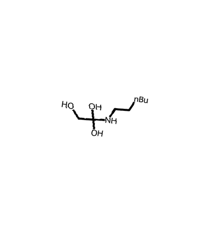 CCCCCCNC(O)(O)CO